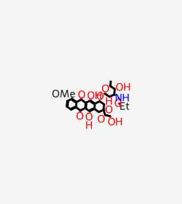 CCONC1CC(O[C@H]2C[C@](O)(C(=O)CO)Cc3c(O)c4c(c(O)c32)C(=O)c2c(OC)cccc2C4=O)OC(C)C1O